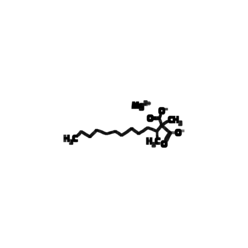 CCCCCCCCCCC(C)C(C)(C(=O)[O-])C(=O)[O-].[Mg+2]